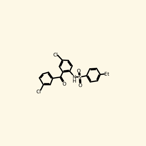 CCc1ccc(S(=O)(=O)Nc2ccc(Cl)cc2C(=O)c2cccc(Cl)c2)cc1